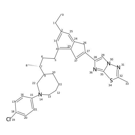 CCc1cc(CC[C@@H](C)C2CCCCN(c3ccc(Cl)cc3)C2)c2c(c1)CC(c1cn3nc(C)sc3n1)=C2